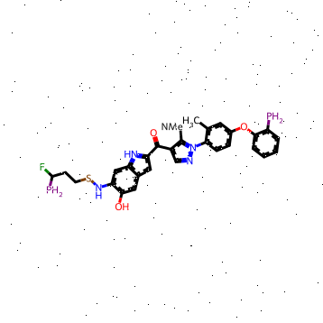 CNc1c(C(=O)c2cc3cc(O)c(NSCCC(F)P)cc3[nH]2)cnn1-c1ccc(Oc2ccccc2P)cc1C